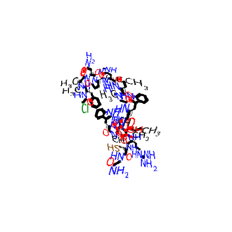 CCCC[C@@H](C(=O)N(C)[C@@H](CCCC)C(=O)N[C@@H](CCCNC(=N)N)C(=O)N[C@@H](CS)C(=O)NCC(N)=O)N(C)C(=O)[C@H](Cc1c[nH]c2ccccc12)NC(=O)[C@H](CO)NC(=O)[C@H](Cc1c[nH]c2ccccc12)NC(=O)CN(C)C(=O)[C@H](CC(C)C)NC(=O)[C@H](Cc1cnc[nH]1)NC(=O)[C@@H]1CCCN1C(=O)[C@H](CC(N)=O)NC(=O)[C@H](C)N(C)C(=O)[C@H](Cc1ccccc1)NC(=O)CCl